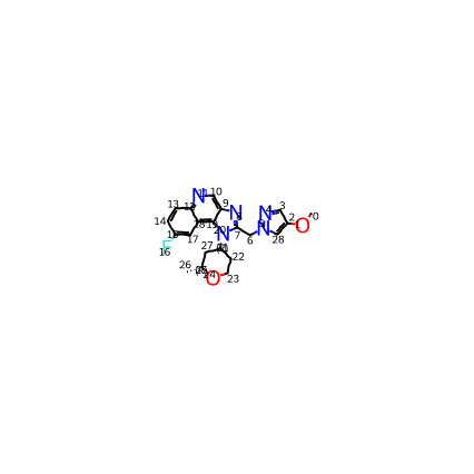 COc1cnn(Cc2nc3cnc4ccc(F)cc4c3n2[C@@H]2CCO[C@H](C)C2)c1